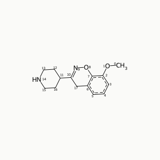 COc1cccc2c1ON=C(C1CCNCC1)C2